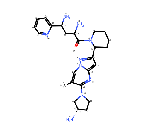 Cc1cn2nc([C@@H]3CCCCN3C(=O)C(N)CC(N)c3ccccn3)cc2nc1N1CC[C@H](N)C1